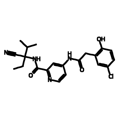 CCC(C#N)(NC(=O)c1cc(NC(=O)Cc2cc(Cl)ccc2O)ccn1)C(C)C